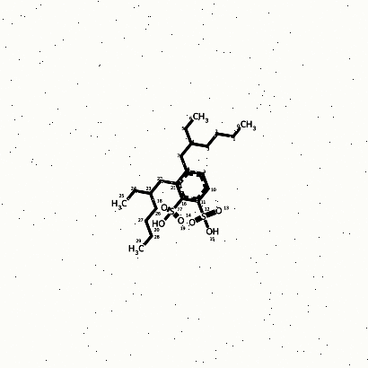 CCCCC(CC)Cc1ccc(S(=O)(=O)O)c(S(=O)(=O)O)c1CC(CC)CCCC